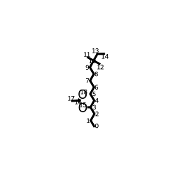 CCCC(CCCCCCC(C)(C)CC)OC(C)=O